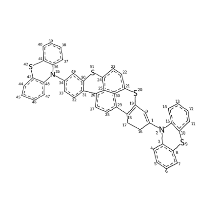 C1=C(N2c3ccccc3Sc3ccccc32)CCC2=C1Sc1ccc3c4c(ccc2c14)-c1ccc(N2c4ccccc4Sc4ccccc42)cc1S3